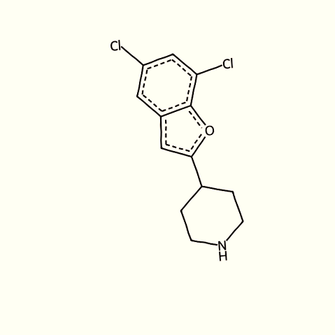 Clc1cc(Cl)c2oc(C3CCNCC3)cc2c1